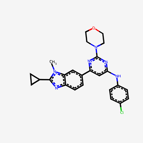 Cn1c(C2CC2)nc2ccc(-c3cc(Nc4ccc(Cl)cc4)nc(N4CCOCC4)n3)cc21